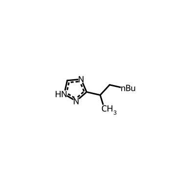 CCCCCC(C)c1nc[nH]n1